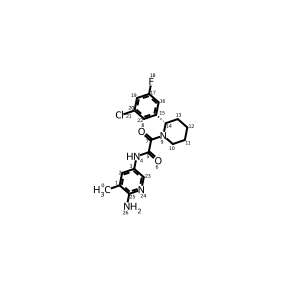 Cc1cc(NC(=O)C(=O)N2CCCC[C@H]2c2cc(F)cc(Cl)c2)cnc1N